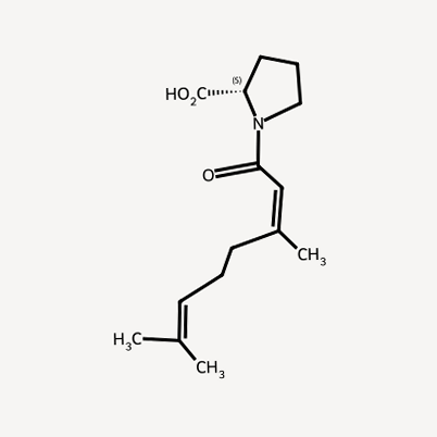 CC(C)=CCCC(C)=CC(=O)N1CCC[C@H]1C(=O)O